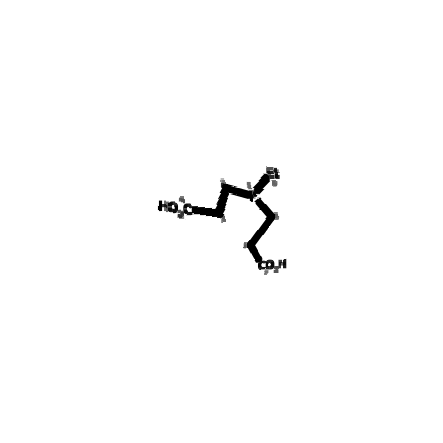 CCP(CCC(=O)O)CCC(=O)O